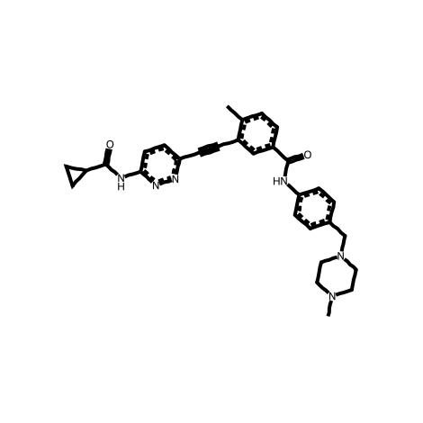 Cc1ccc(C(=O)Nc2ccc(CN3CCN(C)CC3)cc2)cc1C#Cc1ccc(NC(=O)C2CC2)nn1